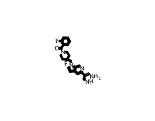 N=C/C(=C\N)c1cc2ccn(CC3(F)CCN(C(=O)c4ccccc4F)CC3)c2cn1